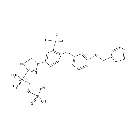 C[C@](N)(COP(=O)(O)O)C1=NC(c2ccc(Sc3cccc(OCc4ccccc4)c3)c(C(F)(F)F)c2)CN1